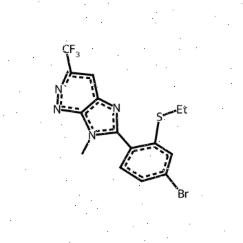 CCSc1cc(Br)ccc1-c1nc2cc(C(F)(F)F)nnc2n1C